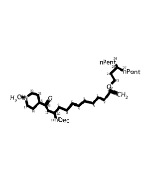 C=C(CCCCCCCCC(CCCCCCCCCC)CC(=O)C1CCN(C)CC1)OCCC(CCCCC)CCCCC